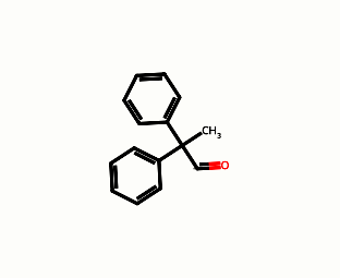 CC([C]=O)(c1ccccc1)c1ccccc1